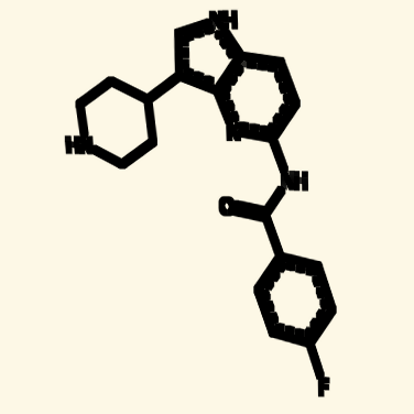 O=C(Nc1ccc2[nH]cc(C3CCNCC3)c2n1)c1ccc(F)cc1